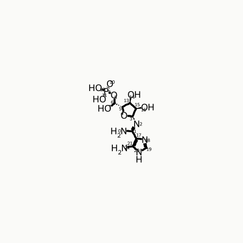 NC(=N[C@@H]1O[C@H](C(O)OP(=O)(O)O)[C@@H](O)[C@H]1O)c1nc[nH]c1N